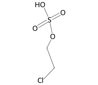 O=S(=O)(O)OCCCl